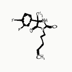 CCCCCN1C(=O)NC(C)(c2ccc(F)c(F)c2)C1=O